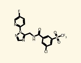 O=C(NCc1ncnn1-c1ccc(F)cn1)c1cc(Cl)cc(S(=O)(=O)C(F)(F)F)c1